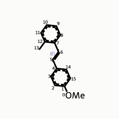 COc1ccc(/[C]=[C]/c2ccccc2C)cc1